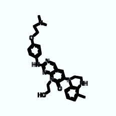 Cc1cccc2c1NCCN2c1cc2cnc(Nc3ccc(OCCN(C)C)cc3)nc2n(CCO)c1=O